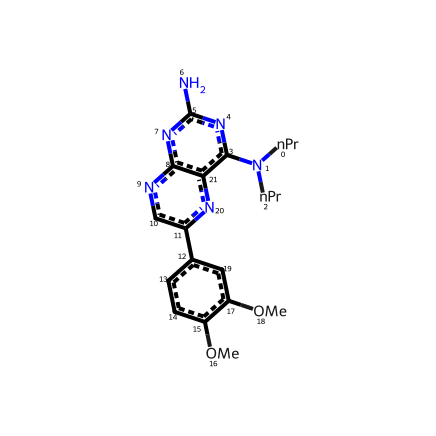 CCCN(CCC)c1nc(N)nc2ncc(-c3ccc(OC)c(OC)c3)nc12